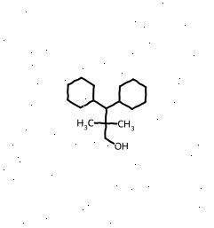 CC(C)(CO)C(C1CCCCC1)C1CCCCC1